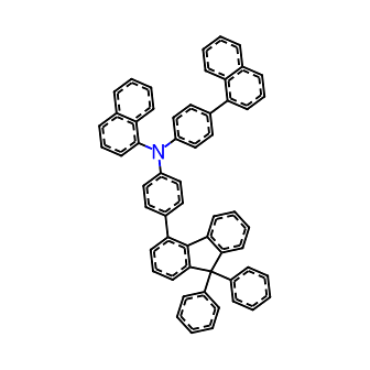 c1ccc(C2(c3ccccc3)c3ccccc3-c3c(-c4ccc(N(c5ccc(-c6cccc7ccccc67)cc5)c5cccc6ccccc56)cc4)cccc32)cc1